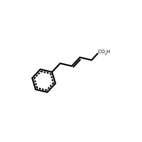 O=C(O)CC=CCc1ccccc1